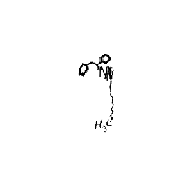 CCCCCCCCCCCCn1cc[n+](CC(Cc2ccccc2)c2ccccc2)c1